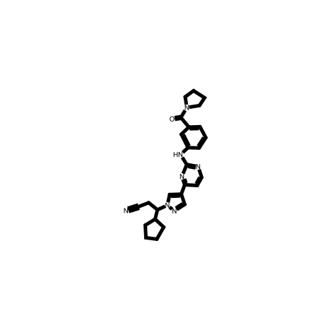 N#CCC(C1CCCC1)n1cc(-c2ccnc(Nc3cccc(C(=O)N4CCCC4)c3)n2)cn1